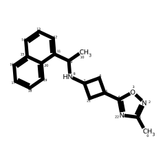 Cc1noc(C2CC(NC(C)c3cccc4ccccc34)C2)n1